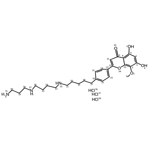 COc1c(O)cc(O)c2c(=O)cc(-c3ccc(CCCCCNCCCCNCCCN)cc3)oc12.Cl.Cl.Cl